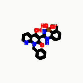 Cc1cccc2c1S(O)(O)N=C(c1c(O)c3cccnc3n(Cc3ccccc3)c1=O)N2